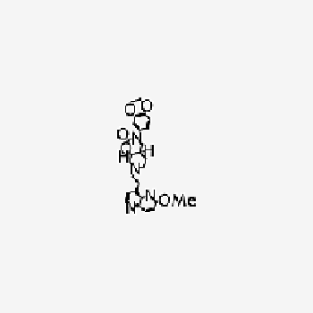 COc1ccc2nccc(CCN3CC[C@@H]4CN(c5ccc6c(c5)OCCO6)C(=O)O[C@H]4C3)c2n1